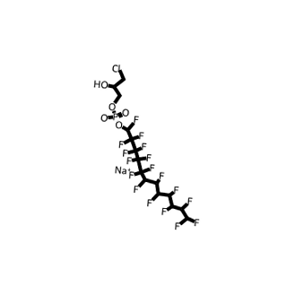 O=P([O-])(OCC(O)CCl)OC(F)C(F)(F)C(F)(F)C(F)(F)C(F)(F)C(F)C(F)C(F)C(F)C(F)C(F)C(F)F.[Na+]